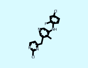 Cc1c(Cc2ccnc(Cl)n2)cncc1Nc1ccc(Cl)cc1F